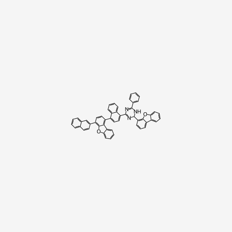 c1ccc(C2=NC(c3ccc(-c4ccc(-c5ccc6ccccc6c5)c5oc6ccccc6c45)c4ccccc34)=NC(c3cccc4c3oc3ccccc34)N2)cc1